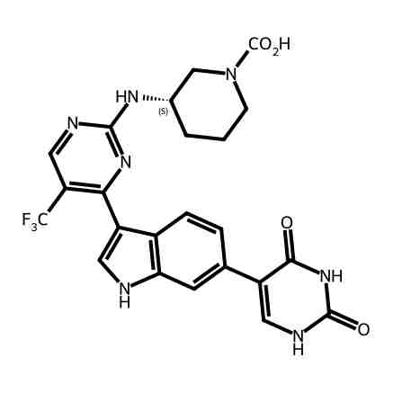 O=C(O)N1CCC[C@H](Nc2ncc(C(F)(F)F)c(-c3c[nH]c4cc(-c5c[nH]c(=O)[nH]c5=O)ccc34)n2)C1